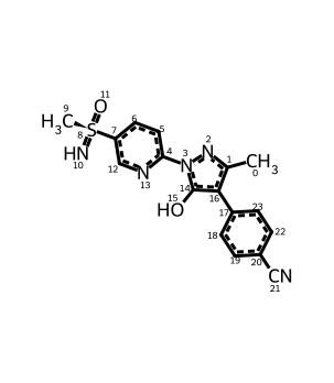 Cc1nn(-c2ccc([S@](C)(=N)=O)cn2)c(O)c1-c1ccc(C#N)cc1